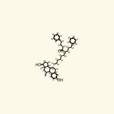 C[C@]12C[C@H](F)C3c4ccc(O)cc4C[C@@H](CCCCCCN(CCCc4ccccc4)C(=O)CCCc4ccccc4)C3C1CC[C@@H]2O